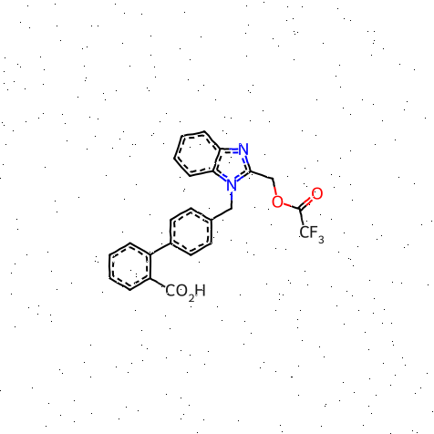 O=C(O)c1ccccc1-c1ccc(Cn2c(COC(=O)C(F)(F)F)nc3ccccc32)cc1